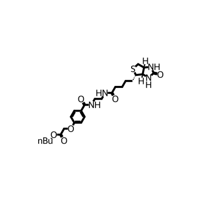 CCCCOC(=O)COc1ccc(C(=O)NCCNC(=O)CCCC[C@@H]2SC[C@@H]3NC(=O)N[C@@H]32)cc1